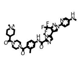 CNc1ccc(-n2cc(-c3cnc(C(=O)Nc4ccc(C(=O)N5CCN(C(=O)C6CC[N+](C)(C)CC6)CC5)c(C)c4)n3C)c(C(F)(F)F)n2)nc1